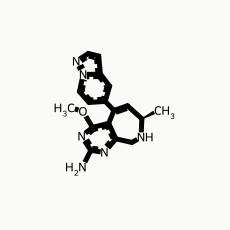 COc1nc(N)nc2c1C(c1ccn3nccc3c1)=C[C@@H](C)NC2